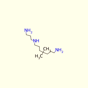 CC(C)(CCCN)CCCNCCCN